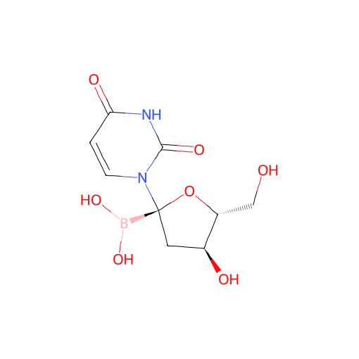 O=c1ccn([C@@]2(B(O)O)C[C@H](O)[C@@H](CO)O2)c(=O)[nH]1